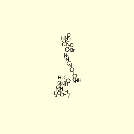 Cc1cc(-c2n[nH]c3ccc(-c4ccc(N5CCC(N6CCN(Cc7cc(Br)c8c(c7)C(=O)N(C7CCC(=O)NC7=O)C8=O)CC6)CC5)cc4)cc23)ccc1CNC(=O)c1nc(C(C)(C)C)no1